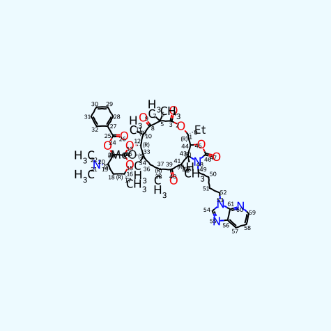 CC[C@H]1OC(=O)C(C)(C)C(=O)[C@H](C)[C@@H](OC2O[C@H](C)C[C@H](N(C)C)[C@H]2OC(=O)c2ccccc2)[C@@](C)(OC)C[C@@H](C)C(=O)[C@H](C)[C@@H]2C1OC(=O)N2CCCCn1cnc2cccnc21